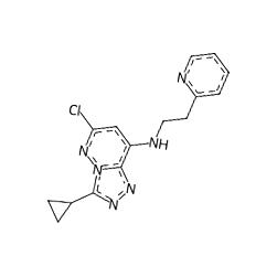 Clc1cc(NCCc2ccccn2)c2nnc(C3CC3)n2n1